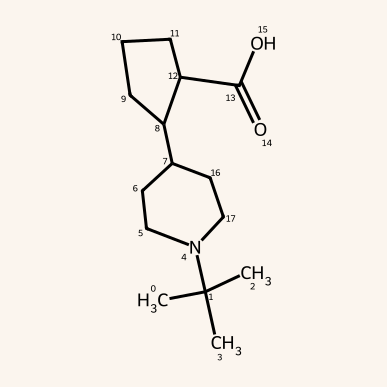 CC(C)(C)N1CCC(C2CCCC2C(=O)O)CC1